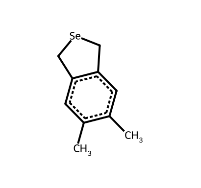 Cc1cc2c(cc1C)C[Se]C2